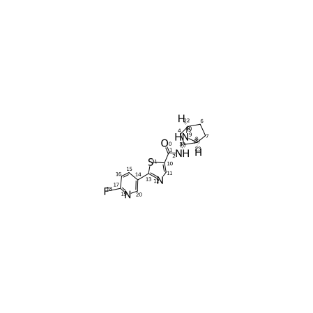 O=C(N[C@@H]1C[C@H]2CC[C@@H]1N2)c1cnc(-c2ccc(F)nc2)s1